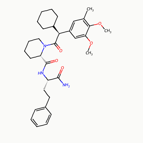 COc1cc([C@@H](C(=O)N2CCCC[C@H]2C(=O)N[C@@H](CCc2ccccc2)C(N)=O)C2CCCCC2)cc(C)c1OC